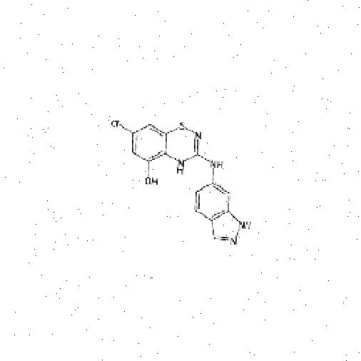 Oc1cc(Cl)cc2c1NC(Nc1ccc3cn[nH]c3c1)=NS2